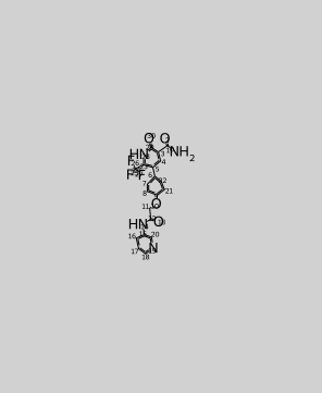 NC(=O)c1cc(-c2ccc(OCC(=O)Nc3cccnc3)cc2)c(C(F)(F)F)[nH]c1=O